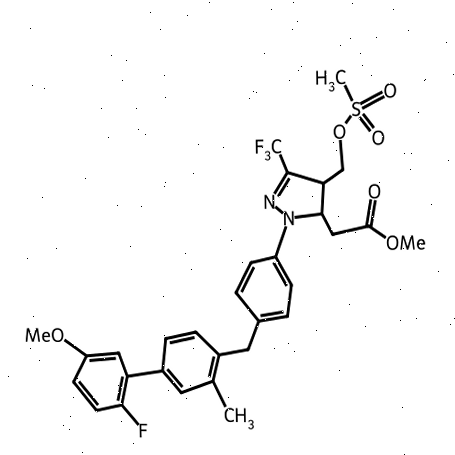 COC(=O)CC1C(COS(C)(=O)=O)C(C(F)(F)F)=NN1c1ccc(Cc2ccc(-c3cc(OC)ccc3F)cc2C)cc1